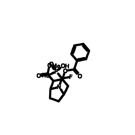 COC(=O)C1C(OC(=O)c2ccccc2)CC2CCC1N2C(F)P(=O)(O)O